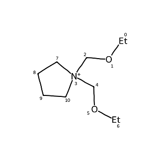 CCOC[N+]1(COCC)CCCC1